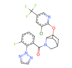 O=C(c1cccc(F)c1-n1nccn1)N1CC2CCC1C(Oc1ncc(C(F)(F)F)cc1Cl)C2